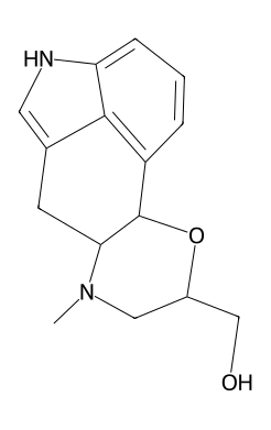 CN1CC(CO)OC2c3cccc4[nH]cc(c34)CC21